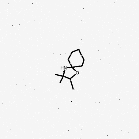 CC1OC2(CCCCC2)NC1(C)C